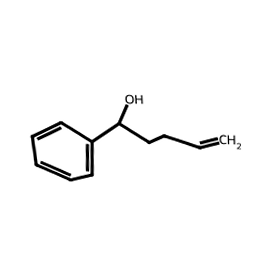 C=CCCC(O)c1ccccc1